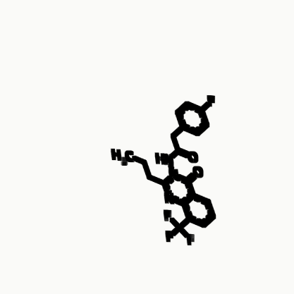 CCCc1nc2c(C(F)(F)F)cccc2c(=O)n1NC(=O)Cc1ccc(F)cc1